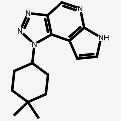 CC1(C)CCC(n2nnc3cnc4[nH]ccc4c32)CC1